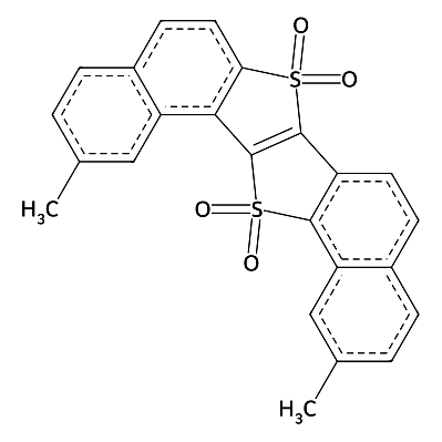 Cc1ccc2ccc3c(c2c1)C1=C(c2ccc4ccc(C)cc4c2S1(=O)=O)S3(=O)=O